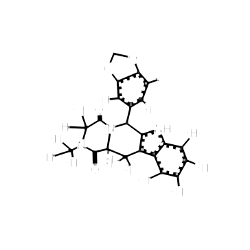 [2H]c1c([2H])c(C2c3[nH]c4c([2H])c([2H])c([2H])c([2H])c4c3C([2H])([2H])[C@@H]3C(=O)N(C([2H])([2H])[2H])C([2H])([2H])C(=O)N23)c([2H])c2c1OCO2